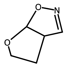 C1=NOC2OCCC12